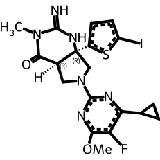 COc1nc(N2C[C@H]3C(=O)N(C)C(=N)N[C@@]3(c3ccc(I)s3)C2)nc(C2CC2)c1F